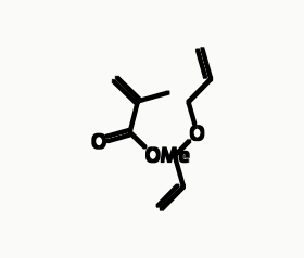 C=C(C)C(=O)OC.C=CCOCC=C